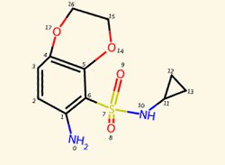 Nc1ccc2c(c1S(=O)(=O)NC1CC1)OCCO2